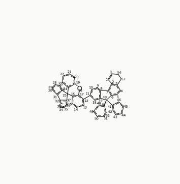 C1=Cc2c(ccc3c2-c2ccc(-c4cccc5c4Oc4ccccc4C54c5ccccc5-c5ccccc54)cc2C3(c2ccccc2)c2ccccc2)CC1